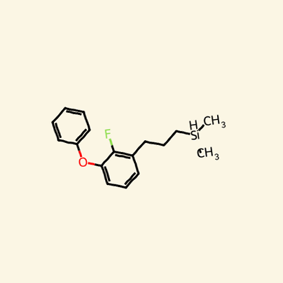 C[SiH](C)CCCc1cccc(Oc2ccccc2)c1F